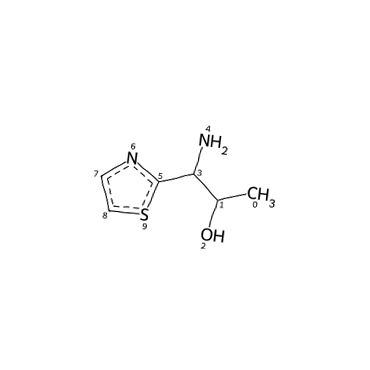 CC(O)C(N)c1nccs1